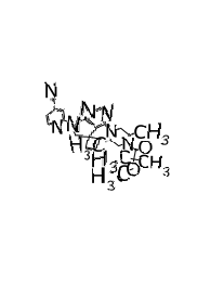 COC(C)(C)C(=O)N1C[C@H](C)N(c2ncnc3c2C2(CCC2)CN3c2cc(C#N)ccn2)C[C@H]1C